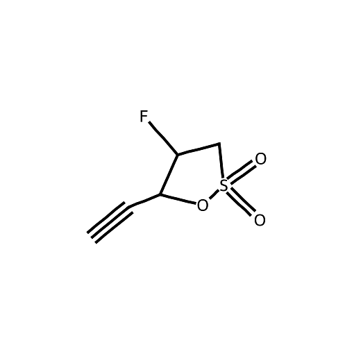 C#CC1OS(=O)(=O)CC1F